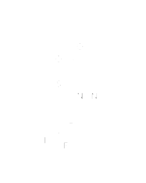 COC(=O)c1cc(C)nnc1Sc1cccc(C(F)(F)F)c1